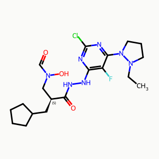 CCN1CCCN1c1nc(Cl)nc(NNC(=O)[C@@H](CC2CCCC2)CN(O)C=O)c1F